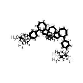 CC1=CC2=C(C=CC=CC2c2ccc(O[Si](C)(C)C(C)(C)C)cc2)[C]12CCC[C]1(C(C)=CC3=C1C=CC=CC3c1ccc(O[Si](C)(C)C(C)(C)C)cc1)[Zr]2([Cl])[Cl]